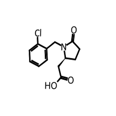 O=C(O)C[C@@H]1CCC(=O)N1Cc1ccccc1Cl